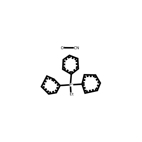 CC[P+](c1ccccc1)(c1ccccc1)c1ccccc1.N#C[O-]